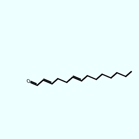 CCCCCCCC=CCCC=CC=O